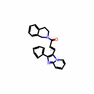 O=C(/C=C/c1c(-c2ccccc2)nc2ccccn12)N1CCc2ccccc2C1